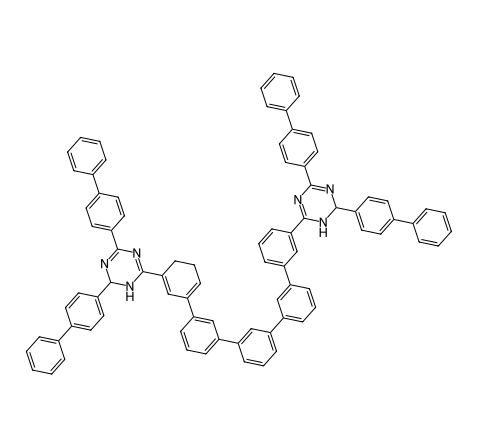 C1=C(C2=NC(c3ccc(-c4ccccc4)cc3)=NC(c3ccc(-c4ccccc4)cc3)N2)CCC=C1c1cccc(-c2cccc(-c3cccc(-c4cccc(C5=NC(c6ccc(-c7ccccc7)cc6)=NC(c6ccc(-c7ccccc7)cc6)N5)c4)c3)c2)c1